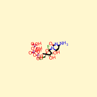 Nc1ccn([C@]2(F)O[C@](CCl)(COP(=O)(O)OP(=O)(O)OP(=O)(O)O)[C@@H](O)[C@H]2O)c(=O)n1